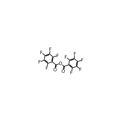 O=C(OC(=O)c1c(F)c(F)c(F)c(F)c1F)c1c(F)c(F)c(F)c(F)c1F